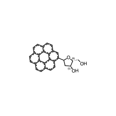 OC[C@H]1OC(c2cc3ccc4ccc5ccc6ccc7ccc2c2c7c6c5c4c32)C[C@@H]1O